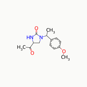 COc1ccc(C(C)N2CC(C(C)=O)NC2=O)cc1